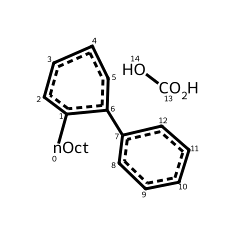 CCCCCCCCc1ccccc1-c1ccccc1.O=C(O)O